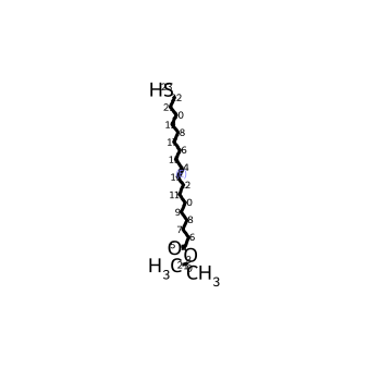 CC(C)OC(=O)CCCCCCC/C=C/CCCCCCCCS